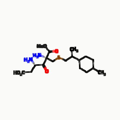 COC(=O)[C@@](N)(CSCC(C)C1CCC(C)CC1)C(=O)[C@@H](N)CC(=O)O